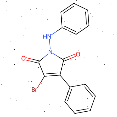 O=C1C(Br)=C(c2ccccc2)C(=O)N1Nc1ccccc1